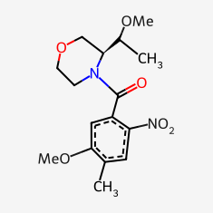 COc1cc(C(=O)N2CCOC[C@H]2C(C)OC)c([N+](=O)[O-])cc1C